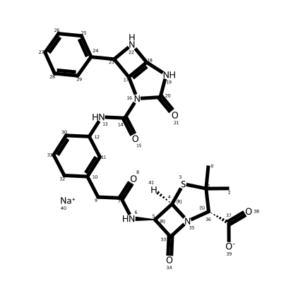 CC1(C)S[C@@H]2[C@H](NC(=O)CC3=CC(NC(=O)n4c5c([nH]c4=O)NC5c4ccccc4)C=CC3)C(=O)N2[C@H]1C(=O)[O-].[Na+]